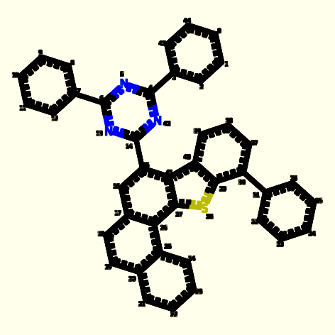 c1ccc(-c2nc(-c3ccccc3)nc(-c3cc4ccc5ccccc5c4c4sc5c(-c6ccccc6)cccc5c34)n2)cc1